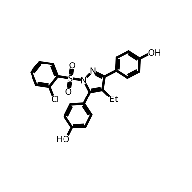 CCc1c(-c2ccc(O)cc2)nn(S(=O)(=O)c2ccccc2Cl)c1-c1ccc(O)cc1